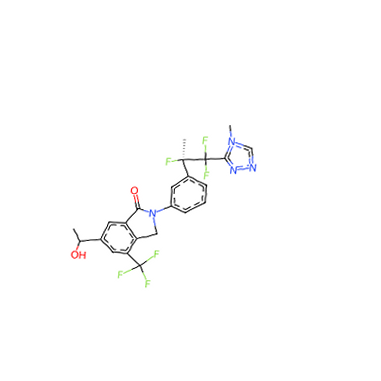 CC(O)c1cc2c(c(C(F)(F)F)c1)CN(c1cccc([C@@](C)(F)C(F)(F)c3nncn3C)c1)C2=O